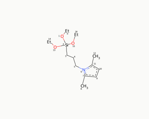 CCO[Si](CCCn1c(C)ccc1C)(OCC)OCC